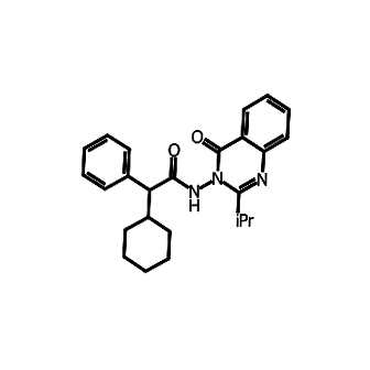 CC(C)c1nc2ccccc2c(=O)n1NC(=O)C(c1ccccc1)C1CCCCC1